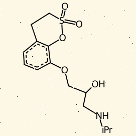 CC(C)NCC(O)COc1cccc2c1OS(=O)(=O)CC2